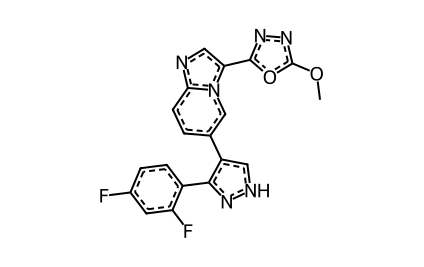 COc1nnc(-c2cnc3ccc(-c4c[nH]nc4-c4ccc(F)cc4F)cn23)o1